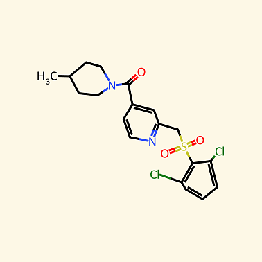 CC1CCN(C(=O)c2ccnc(CS(=O)(=O)c3c(Cl)cccc3Cl)c2)CC1